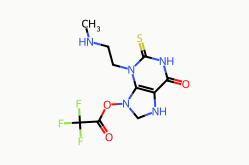 CNCCn1c2c(c(=O)[nH]c1=S)NCN2OC(=O)C(F)(F)F